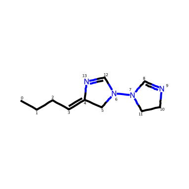 CCCC=C1CN(N2C=NCC2)C=N1